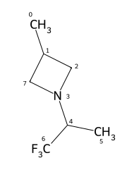 CC1CN(C(C)C(F)(F)F)C1